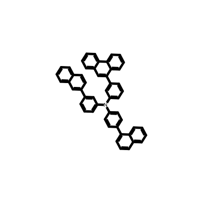 c1cc(-c2ccc3ccccc3c2)cc(N(c2ccc(-c3cccc4ccccc34)cc2)c2cccc(-c3cc4ccccc4c4ccccc34)c2)c1